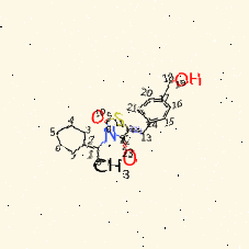 CC(C1CCCCC1)N1C(=O)S/C(=C\c2ccc(CO)cc2)C1=O